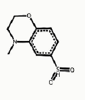 CN1CCOc2ccc([SH](=O)=O)cc21